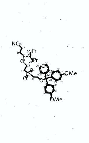 COc1ccc(C(OCCS(=O)(=O)CCOP(CCC#N)N(C(C)C)C(C)C)(c2ccccc2)c2ccc(OC)cc2)cc1